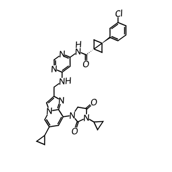 O=C1CN(c2cc(C3CC3)cn3cc(CNc4cc(NC(=O)[C@]56C[C@]5(c5cccc(Cl)c5)C6)ncn4)nc23)C(=O)N1C1CC1